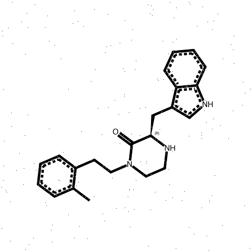 Cc1ccccc1CCN1CCN[C@H](Cc2c[nH]c3ccccc23)C1=O